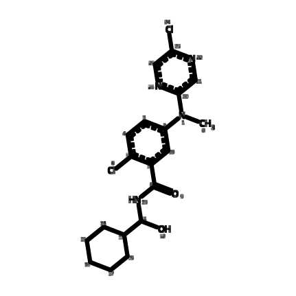 CN(c1ccc(Cl)c(C(=O)NC(O)C2CCCCC2)c1)c1cnc(Cl)cn1